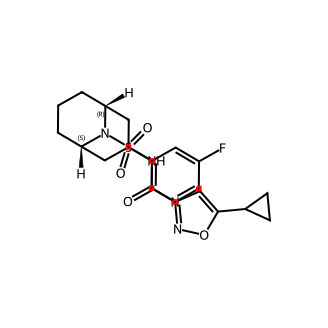 O=C(NC1C[C@H]2CCC[C@@H](C1)N2S(=O)(=O)c1cncc(F)c1)c1cc(C2CC2)on1